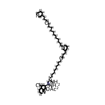 CC(=O)Oc1c(/C(N)=C/N(N)CCCCCCCCCCOCCCc2ccc[n+](CCCCCCCCCCCCOCCCc3cccnc3)c2)cc(Cl)c2cccnc12